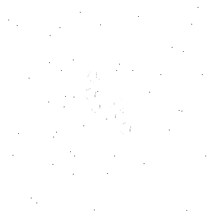 CC(c1cccc(Cl)c1)N(C)C(=O)[C@H](O)[C@@H](O)C(=O)N[C@H](C)c1ccc(-n2cccn2)cc1